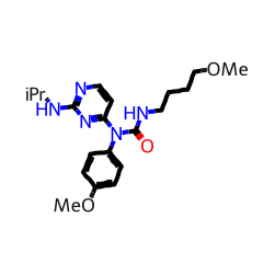 COCCCCNC(=O)N(c1ccc(OC)cc1)c1ccnc(NC(C)C)n1